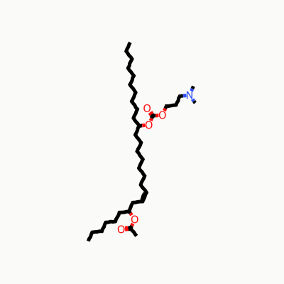 CCCCCCCCCCC(CCCCCCC/C=C\CC(CCCCCC)OC(C)=O)OC(=O)OCCCN(C)C